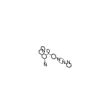 N#Cc1cc(C(=O)c2ccc(N3CCN(c4ccccn4)CC3)cc2)c2c(ccc3cccn32)c1